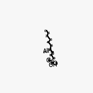 CCCCCCCCCCS(=O)(=O)O.[AlH3]